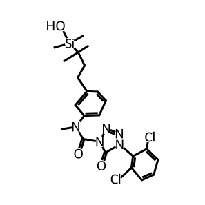 CN(C(=O)n1nnn(-c2c(Cl)cccc2Cl)c1=O)c1cccc(CCC(C)(C)[Si](C)(C)O)c1